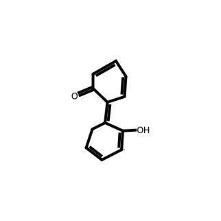 O=C1C=CC=CC1=C1CC=C[C]=C1O